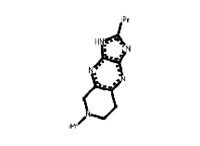 CC(C)c1nc2nc3c(nc2[nH]1)CN(C(C)C)CC3